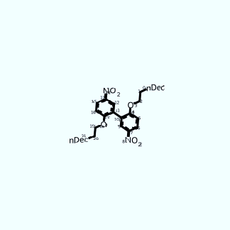 CCCCCCCCCCCCOc1ccc([N+](=O)[O-])cc1-c1cc([N+](=O)[O-])ccc1OCCCCCCCCCCCC